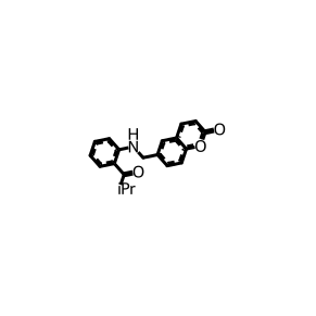 CC(C)C(=O)c1ccccc1NCc1ccc2oc(=O)ccc2c1